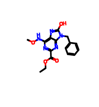 CCOC(=O)c1nc(NOC)c2nc(O)n(Cc3ccccc3)c2n1